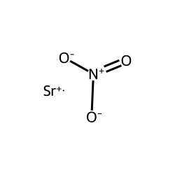 O=[N+]([O-])[O-].[Sr+]